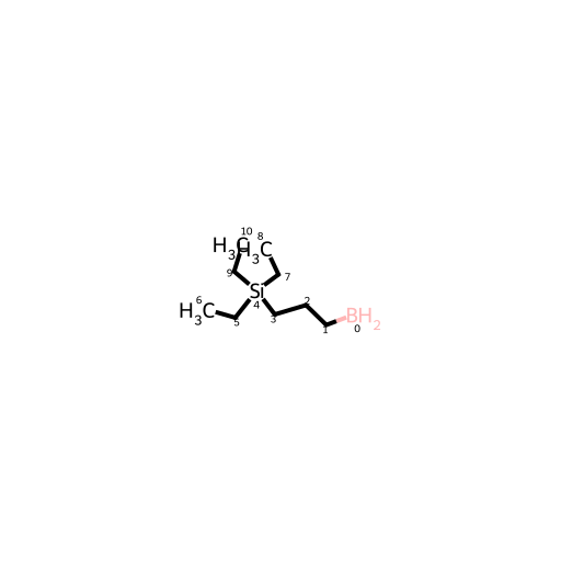 BCCC[Si](CC)(CC)CC